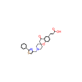 O=C(O)/C=C/c1ccc2c(c1)C(=O)CC1(CCN(Cc3csc(-c4ccccc4)n3)CC1)O2